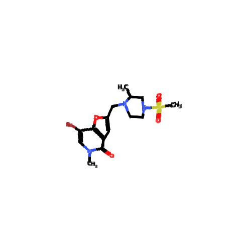 CC1CN(S(C)(=O)=O)CCN1Cc1cc2c(=O)n(C)cc(Br)c2o1